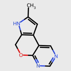 Cc1cc2c([nH]1)COc1ncncc1-2